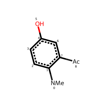 CNc1ccc(O)cc1C(C)=O